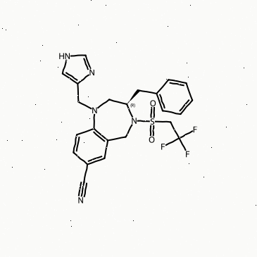 N#Cc1ccc2c(c1)CN(S(=O)(=O)CC(F)(F)F)[C@H](Cc1ccccc1)CN2Cc1c[nH]cn1